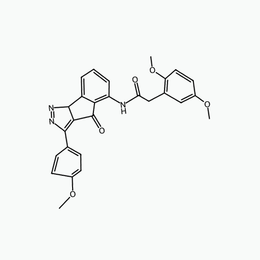 COc1ccc(C2=C3C(=O)c4c(NC(=O)Cc5cc(OC)ccc5OC)cccc4C3N=N2)cc1